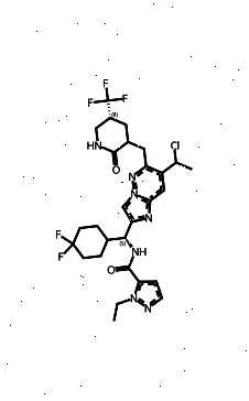 CCn1nccc1C(=O)N[C@H](c1cn2nc(CC3C[C@@H](C(F)(F)F)CNC3=O)c(C(C)Cl)cc2n1)C1CCC(F)(F)CC1